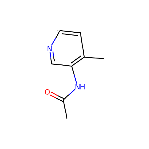 CC(=O)Nc1cn[c]cc1C